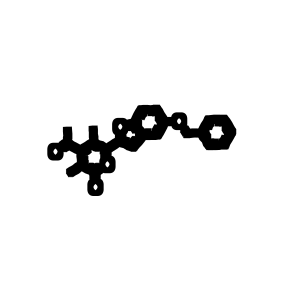 CC(=O)c1c(C)c(-c2cc3cc(OCc4ccccc4)ccc3o2)oc(=O)c1C